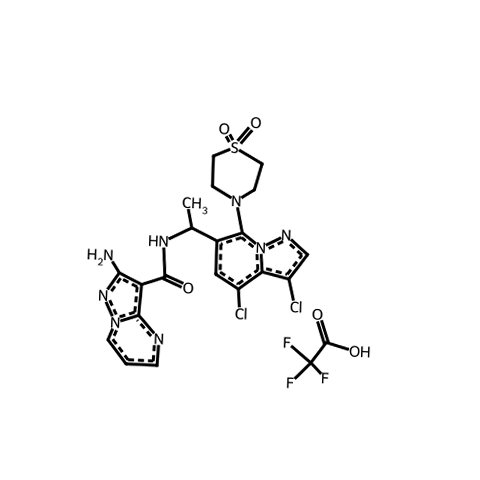 CC(NC(=O)c1c(N)nn2cccnc12)c1cc(Cl)c2c(Cl)cnn2c1N1CCS(=O)(=O)CC1.O=C(O)C(F)(F)F